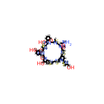 Cc1sc2nc1C(=O)N[C@@H]([C@H](O)c1ccccc1)c1nc(cs1)C(=O)N[C@@H](Cc1ccc(O)cc1)C(=O)N1C[C@H](O)[C@H](C)[C@H]1c1nc(cs1)-c1nc(cs1)-c1nc(-c3nc(CO)cs3)ccc1-c1nc(cs1)C(=O)N[C@H]2CC(N)=O